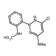 CNC1=NN(c2ccccc2NC(=O)O)NC(Cl)=C1